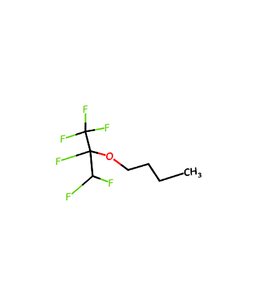 CCCCOC(F)(C(F)F)C(F)(F)F